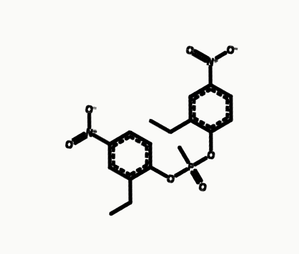 CCc1cc([N+](=O)[O-])ccc1OP(C)(=O)Oc1ccc([N+](=O)[O-])cc1CC